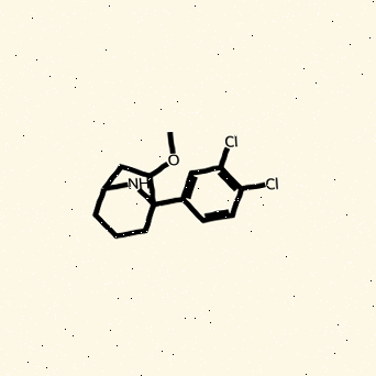 COC1CC2CCCC1(c1ccc(Cl)c(Cl)c1)N2